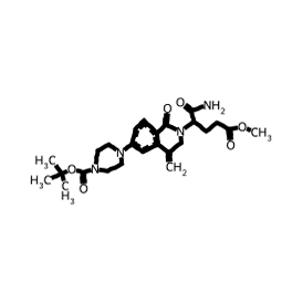 C=C1CN(C(CCC(=O)OC)C(N)=O)C(=O)c2ccc(N3CCN(C(=O)OC(C)(C)C)CC3)cc21